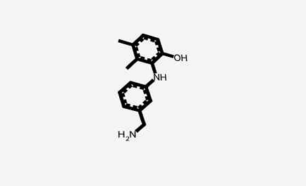 Cc1ccc(O)c(Nc2cccc(CN)c2)c1C